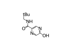 CC(C)(C)CNC(=O)c1cnc(O)cn1